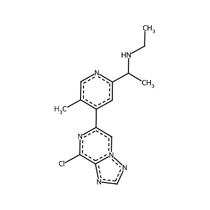 CCNC(C)c1cc(-c2cn3ncnc3c(Cl)n2)c(C)cn1